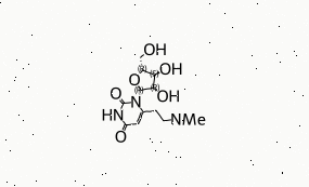 CNCCc1cc(=O)[nH]c(=O)n1[C@@H]1O[C@H](CO)[C@@H](O)[C@H]1O